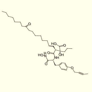 CC#CCOc1ccc(C[C@H](NC(=O)[C@@H](C=CCCCCCCC(=O)CCCCCCC)[C@@](O)(CCC)C(=O)O)C(=O)NO)cc1